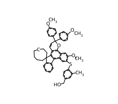 COc1ccc(C2(c3ccc(OC)cc3)C=Cc3c4c(c5cc(Sc6ccc(CO)cc6C)c(OC)cc5c3O2)-c2ccccc2C42CCCCCCC2)cc1